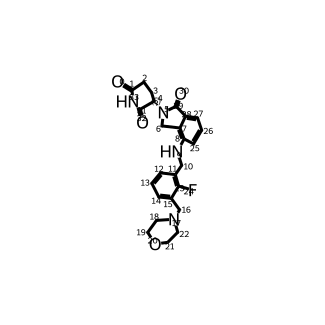 O=C1CC[C@H](N2Cc3c(NCc4cccc(CN5CCOCC5)c4F)cccc3C2=O)C(=O)N1